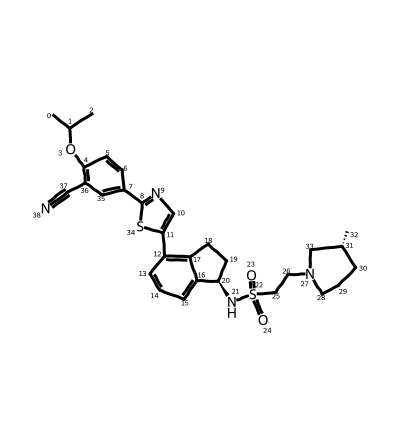 CC(C)Oc1ccc(-c2ncc(-c3cccc4c3CC[C@H]4NS(=O)(=O)CCN3CCC[C@@H](C)C3)s2)cc1C#N